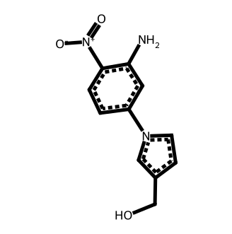 Nc1cc(-n2ccc(CO)c2)ccc1[N+](=O)[O-]